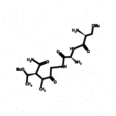 CC(C)COC[C@@H](N)C(=O)N[C@H](N)C(=O)NCC(=O)N(C)[C@H](C(N)=O)C(C)OCC(C)C